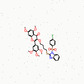 COc1cc(OC)c2c(=O)c(OCCCCSc3nc4ccccc4n3S(=O)(=O)c3ccc(F)cc3)c(-c3cc(OC)c(OC)c(OC)c3)oc2c1